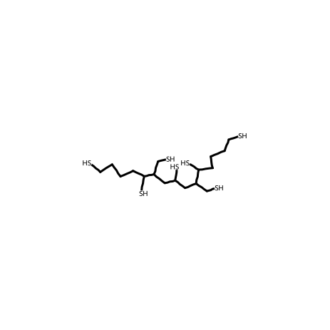 SCCCCC(S)C(CS)CC(S)CC(CS)C(S)CCCCS